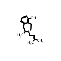 CC(C)=CCN1CCc2c(O)cccc2CC1C